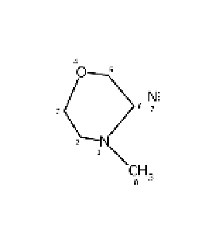 CN1CCOCC1.[N]